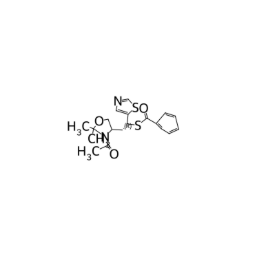 CC(=O)N1C(C[C@@H](SC(=O)c2ccccc2)c2cncs2)COC1(C)C